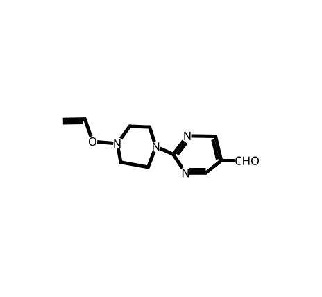 C=CON1CCN(c2ncc(C=O)cn2)CC1